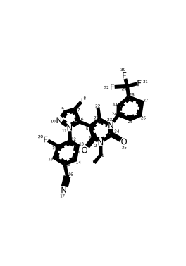 CCn1c(=O)c(-c2c(I)cnn2-c2ccc(C#N)cc2F)c(C)n(-c2cccc(C(F)(F)F)c2)c1=O